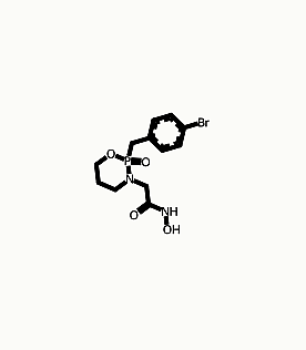 O=C(CN1CCCOP1(=O)Cc1ccc(Br)cc1)NO